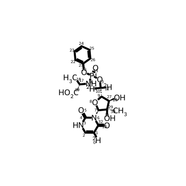 [2H]c1c[nH]c(=O)n([C@@H]2O[C@H](C([2H])([2H])OP(=O)(N[C@@H](C)C(=O)O)Oc3ccccc3)[C@@H](O)[C@@]2(C)O)c1=O